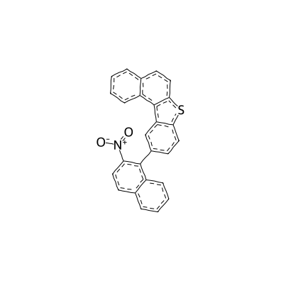 O=[N+]([O-])c1ccc2ccccc2c1-c1ccc2sc3ccc4ccccc4c3c2c1